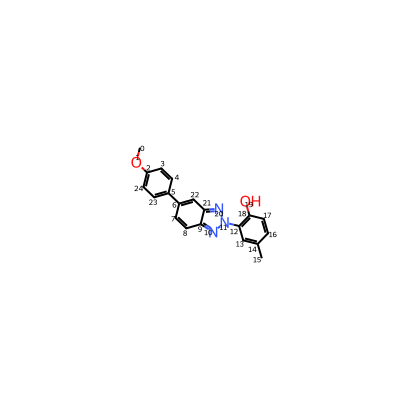 COc1ccc(-c2ccc3nn(-c4cc(C)ccc4O)nc3c2)cc1